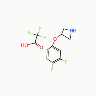 Fc1ccc(OC2CNC2)cc1F.O=C(O)C(F)(F)F